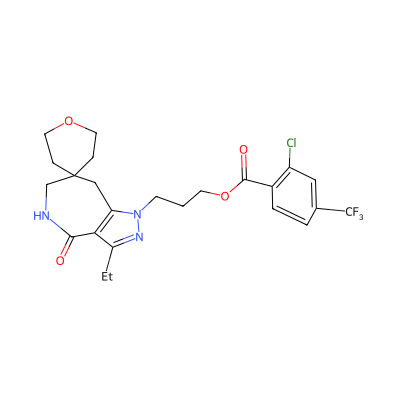 CCc1nn(CCCOC(=O)c2ccc(C(F)(F)F)cc2Cl)c2c1C(=O)NCC1(CCOCC1)C2